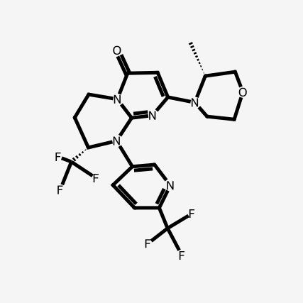 C[C@@H]1COCCN1c1cc(=O)n2c(n1)N(c1ccc(C(F)(F)F)nc1)[C@H](C(F)(F)F)CC2